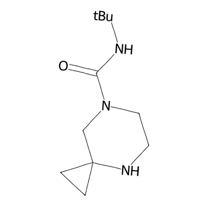 CC(C)(C)NC(=O)N1CCNC2(CC2)C1